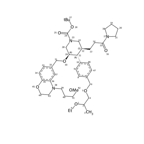 CCOC(C)COCc1ccc([C@H]2[C@H](CCC(=O)N3CCCC3)CN(C(=O)OC(C)(C)C)C[C@@H]2OCc2ccc3c(c2)N(CCCOC)CCO3)cc1